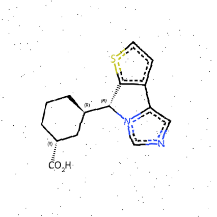 O=C(O)[C@@H]1CCC[C@@H]([C@@H]2c3sccc3-c3cncn32)C1